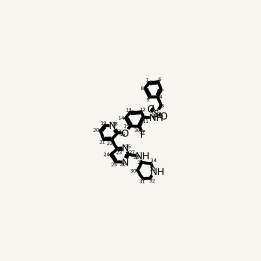 O=S(=O)(Cc1ccccc1)Nc1cccc(Oc2ncccc2-c2ccnc(N[C@H]3CCCNC3)n2)c1F